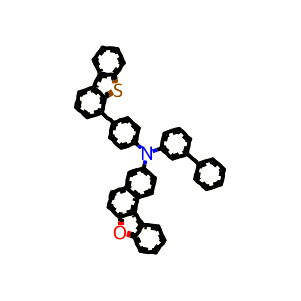 c1ccc(-c2cccc(N(c3ccc(-c4cccc5c4sc4ccccc45)cc3)c3ccc4c(ccc5oc6ccccc6c54)c3)c2)cc1